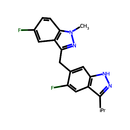 CC(C)c1n[nH]c2cc(Cc3nn(C)c4ccc(F)cc34)c(F)cc12